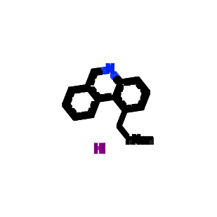 CCCCCCCCCCc1cccc2ncc3ccccc3c12.I